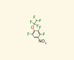 O=[N+]([O-])c1cc(F)c(OC(F)(F)C(F)F)c(F)c1F